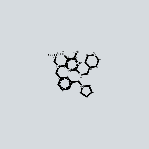 CCOC(=O)CN(Cc1cccc(CN2CCCC2)c1)c1nc(OCC2CCOCC2)nc(N)c1[N+](=O)[O-]